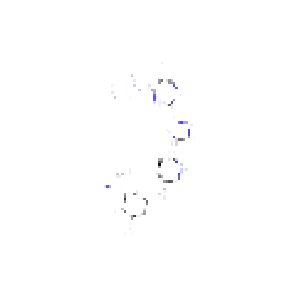 Cc1nn(-c2ncc(F)c(N3CCOCC3)n2)nc1-c1ccc(Nc2cc(N(C)C)cc(C(F)(F)F)c2)cn1